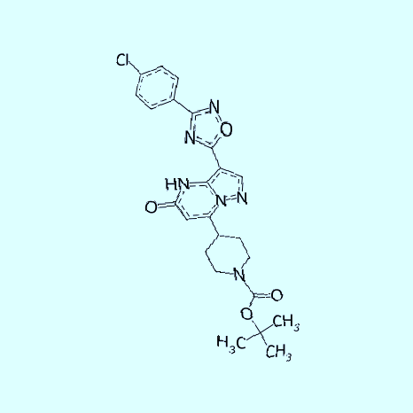 CC(C)(C)OC(=O)N1CCC(c2cc(=O)[nH]c3c(-c4nc(-c5ccc(Cl)cc5)no4)cnn23)CC1